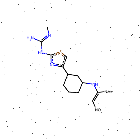 CN=C(N)Nc1nc(C2CCCC(NC(=C[N+](=O)[O-])NC)C2)cs1